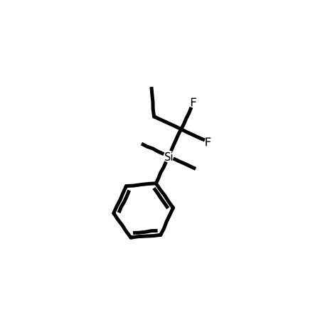 CCC(F)(F)[Si](C)(C)c1ccccc1